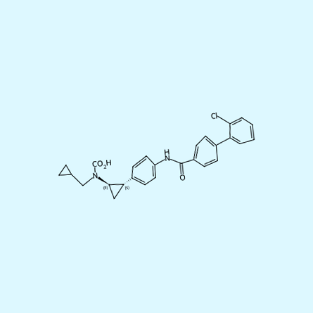 O=C(Nc1ccc([C@@H]2C[C@H]2N(CC2CC2)C(=O)O)cc1)c1ccc(-c2ccccc2Cl)cc1